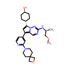 COC[C@H](C)Nc1ncc2c(-c3ccnc(N4CCC5(CC4)COC5)c3)cc([C@H]3CC[C@H](O)CC3)n2n1